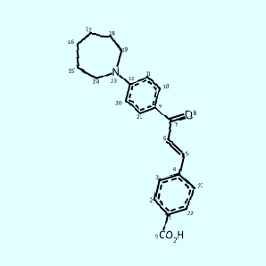 O=C(O)c1ccc(C=CC(=O)c2ccc(N3CCCCCC3)cc2)cc1